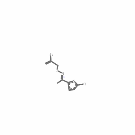 C=C(CC)CO/N=C(\C)c1ccc(Cl)s1